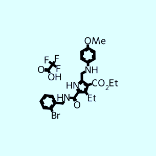 CCOC(=O)c1c(CNc2ccc(OC)cc2)[nH]c(C(=O)NCc2ccccc2Br)c1CC.O=C(O)C(F)(F)F